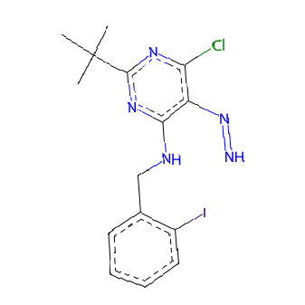 CC(C)(C)c1nc(Cl)c(N=N)c(NCc2ccccc2I)n1